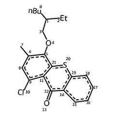 CCCCC(CC)COc1c(C)cc(Cl)c2c(=O)c3ccccc3sc12